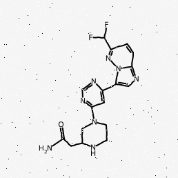 NC(=O)CC1CN(c2cc(-c3cnc4ccc(C(F)F)nn34)ncn2)CCN1